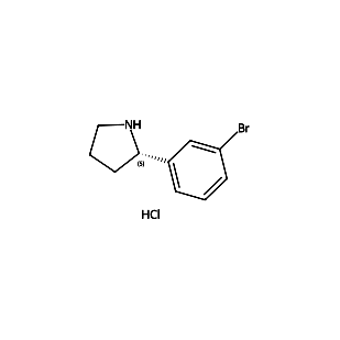 Brc1cccc([C@@H]2CCCN2)c1.Cl